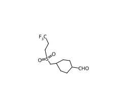 O=CC1CCC(CS(=O)(=O)CCC(F)(F)F)CC1